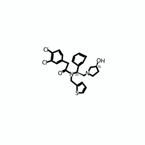 O=C(Cc1ccc(Cl)c(Cl)c1)N(Cc1cccs1)[C@H](CN1CC[C@H](O)C1)c1ccccc1